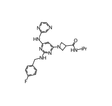 CC(C)NC(=O)C1CN(c2cc(Nc3cnccn3)nc(NCc3ccc(F)cc3)n2)C1